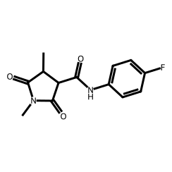 CC1C(=O)N(C)C(=O)C1C(=O)Nc1ccc(F)cc1